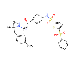 COc1ccc2c(c1)/C(=C/C(=O)c1ccc(NS(=O)(=O)c3ccc(S(=O)(=O)c4ccccc4)s3)cc1)NC(C)(C)C2